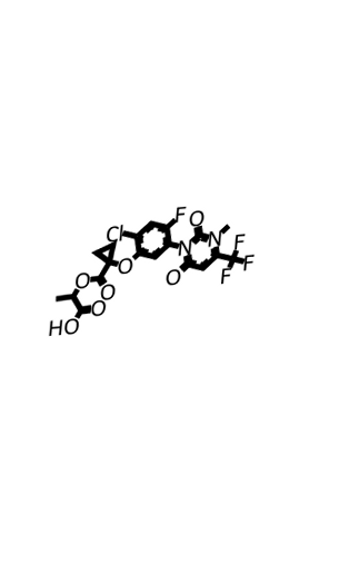 CC(OC(=O)C1(Oc2cc(-n3c(=O)cc(C(F)(F)F)n(C)c3=O)c(F)cc2Cl)CC1)C(=O)O